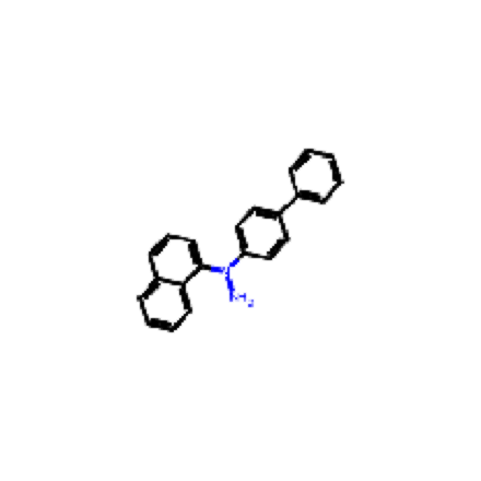 NN(c1ccc(-c2ccccc2)cc1)c1cccc2ccccc12